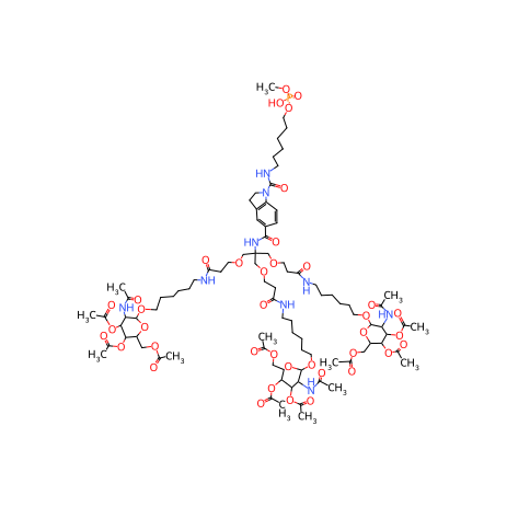 COP(=O)(O)OCCCCCCNC(=O)N1CCc2cc(C(=O)NC(COCCC(=O)NCCCCCCOC3OC(COC(C)=O)C(OC(C)=O)C(OC(C)=O)C3NC(C)=O)(COCCC(=O)NCCCCCCOC3OC(COC(C)=O)C(OC(C)=O)C(OC(C)=O)C3NC(C)=O)COCCC(=O)NCCCCCCOC3OC(COC(C)=O)C(OC(C)=O)C(OC(C)=O)C3NC(C)=O)ccc21